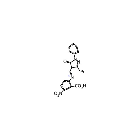 CC(C)C1=NN(c2ccccc2)C(=O)C1/C=N/c1ccc([N+](=O)[O-])cc1C(=O)O